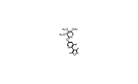 CC(=O)O[C@@H]1[C@@H](OC(C)=O)[C@H](OC(C)=O)CS[C@H]1Oc1cnc(-c2c(C)noc2C)c(F)c1